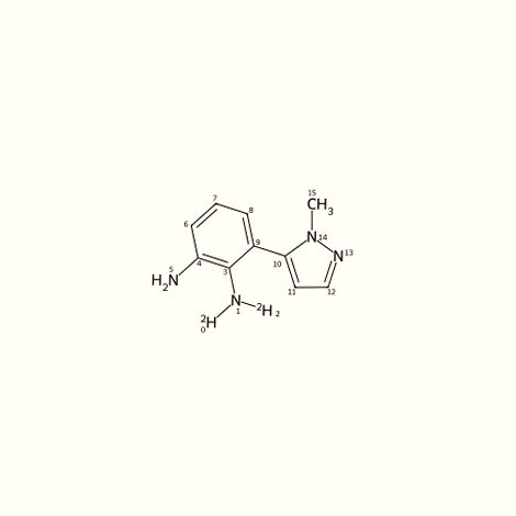 [2H]N([2H])c1c(N)cccc1-c1ccnn1C